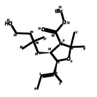 CC=C(C)[C@@H]1OC(C)(C)N(C(=O)OC(C)(C)C)[C@H]1CC(C)(C)CCO